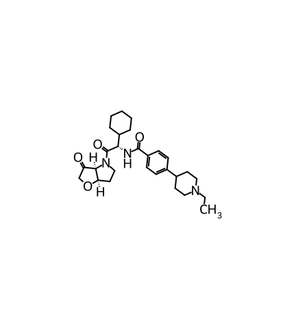 CCN1CCC(c2ccc(C(=O)N[C@H](C(=O)N3CC[C@H]4OCC(=O)[C@H]43)C3CCCCC3)cc2)CC1